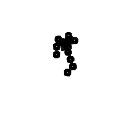 c1ccc(-c2cccc(-c3ccc(-c4ccc(-c5nc(-n6c7ccccc7c7ccccc76)nc(-n6c7ccccc7c7ccc(-c8ccccc8)cc76)n5)cc4)cc3)c2)cc1